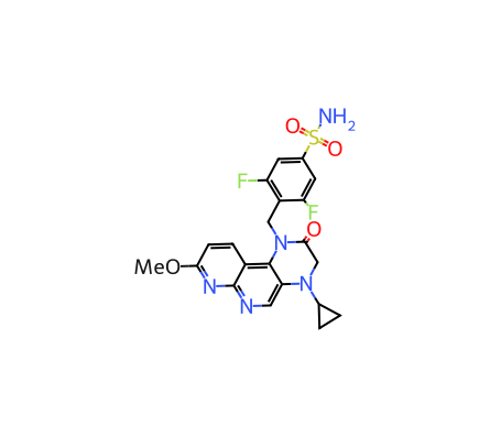 COc1ccc2c3c(cnc2n1)N(C1CC1)CC(=O)N3Cc1c(F)cc(S(N)(=O)=O)cc1F